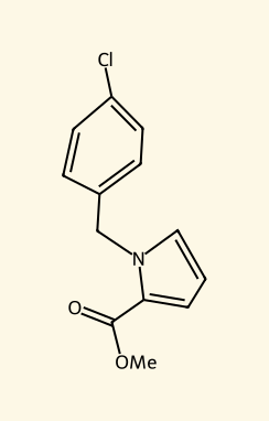 COC(=O)c1cccn1Cc1ccc(Cl)cc1